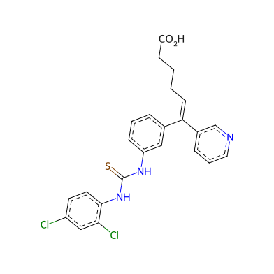 O=C(O)CCCC=C(c1cccnc1)c1cccc(NC(=S)Nc2ccc(Cl)cc2Cl)c1